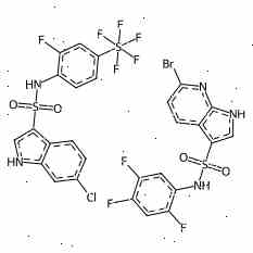 O=S(=O)(Nc1cc(F)c(F)cc1F)c1c[nH]c2nc(Br)ccc12.O=S(=O)(Nc1ccc(S(F)(F)(F)(F)F)cc1F)c1c[nH]c2cc(Cl)ccc12